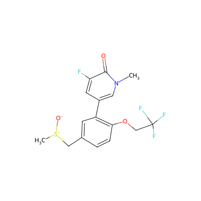 Cn1cc(-c2cc(C[S+](C)[O-])ccc2OCC(F)(F)F)cc(F)c1=O